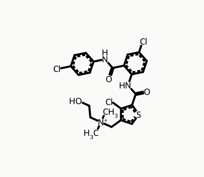 C[N+](C)(CCO)Cc1csc(C(=O)Nc2ccc(Cl)cc2C(=O)Nc2ccc(Cl)cc2)c1Cl